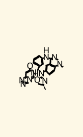 C=Nc1ccc(NC2=N[C@@H](C)CO2)cc1/C(=N\C)Nc1ccc(Oc2cc3nncn3cn2)c(C)c1